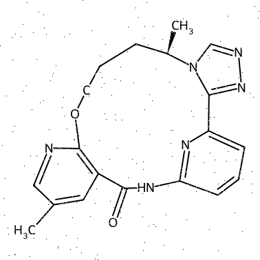 Cc1cnc2c(c1)C(=O)Nc1cccc(n1)-c1nncn1[C@H](C)CCCO2